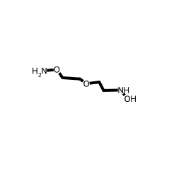 NOCCOCCNO